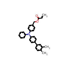 C=CC(=O)OCc1ccc(N(c2ccccc2)c2ccc(-c3ccc(C)c(C)c3)cc2)cc1